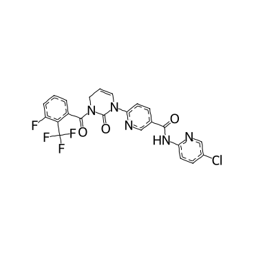 O=C(Nc1ccc(Cl)cn1)c1ccc(N2C=CCN(C(=O)c3cccc(F)c3C(F)(F)F)C2=O)nc1